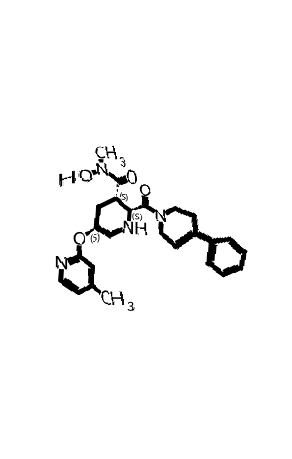 Cc1ccnc(O[C@@H]2CN[C@H](C(=O)N3CC=C(c4ccccc4)CC3)[C@@H](C(=O)N(C)O)C2)c1